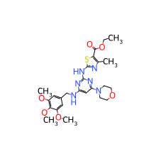 CCOC(=O)c1sc(Nc2nc(NCc3cc(OC)c(OC)c(OC)c3)cc(N3CCOCC3)n2)nc1C